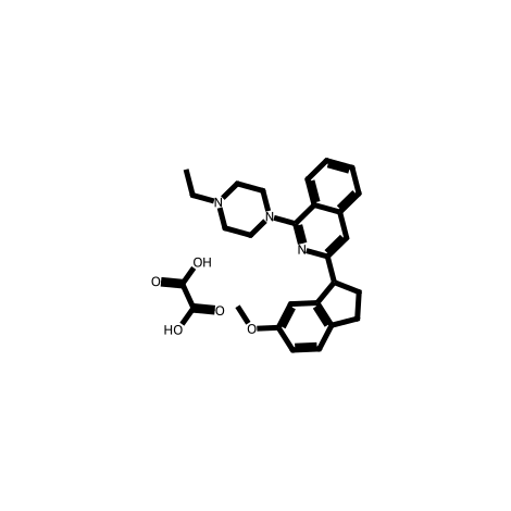 CCN1CCN(c2nc(C3CCc4ccc(OC)cc43)cc3ccccc23)CC1.O=C(O)C(=O)O